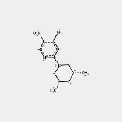 C[C@@H]1CN(c2cc(N)c([N+](=O)[O-])cn2)C[C@H](C)O1